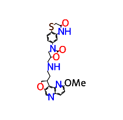 COc1ccc2ncc3c(c2n1)C(CCNCC1CN(c2ccc4c(c2)NC(=O)CS4)C(=O)O1)CO3